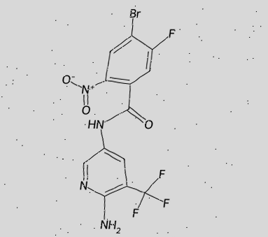 Nc1ncc(NC(=O)c2cc(F)c(Br)cc2[N+](=O)[O-])cc1C(F)(F)F